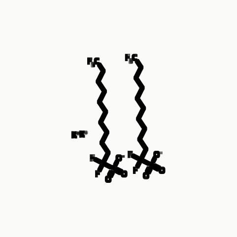 O=S(=O)([O-])C(F)(F)CCCCCCCCCC(F)(F)F.O=S(=O)([O-])C(F)(F)CCCCCCCCCC(F)(F)F.[K+].[K+]